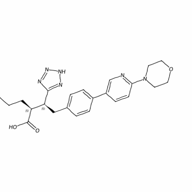 CCC[C@H](C(=O)O)[C@H](Cc1ccc(-c2ccc(N3CCOCC3)nc2)cc1)c1nn[nH]n1